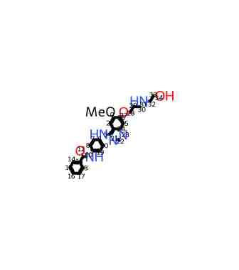 COc1cc2c(Nc3ccc(NC(=O)c4ccccc4)cc3)ncnc2cc1OCCCNCCO